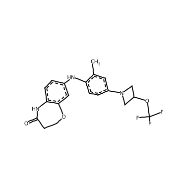 Cc1cc(N2CC(OC(F)(F)F)C2)ccc1Nc1ccc2c(c1)OCCC(=O)N2